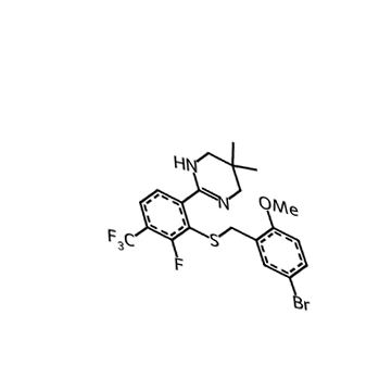 COc1ccc(Br)cc1CSc1c(C2=NCC(C)(C)CN2)ccc(C(F)(F)F)c1F